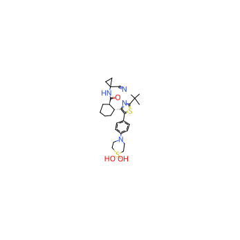 CC(C)(C)c1nc([C@@H]2CCCC[C@H]2C(=O)NC2(C#N)CC2)c(-c2ccc(N3CCS(O)(O)CC3)cc2)s1